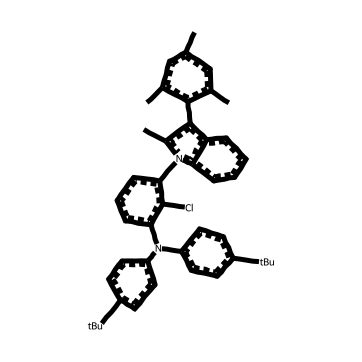 Cc1cc(C)c(-c2c(C)n(-c3cccc(N(c4ccc(C(C)(C)C)cc4)c4ccc(C(C)(C)C)cc4)c3Cl)c3ccccc23)c(C)c1